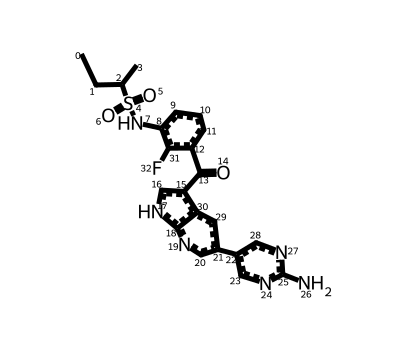 CCC(C)S(=O)(=O)Nc1cccc(C(=O)c2c[nH]c3ncc(-c4cnc(N)nc4)cc23)c1F